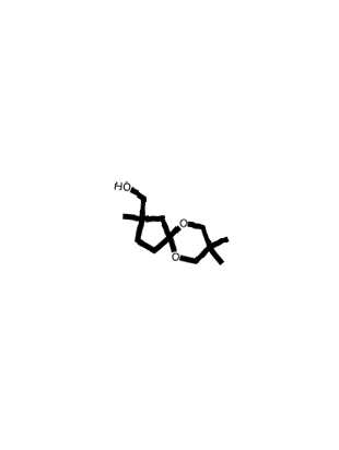 CC1(C)COC2(CCC(C)(CO)C2)OC1